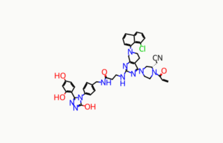 C=CC(=O)N1CCN(c2nc(NCCC(=O)NCc3ccc(-n4c(O)nnc4-c4ccc(O)cc4O)cc3)nc3c2CCN(c2cccc4cccc(Cl)c24)C3)C[C@@H]1CC#N